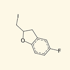 Fc1ccc2c(c1)CC(CI)O2